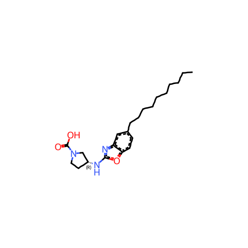 CCCCCCCCCCc1ccc2oc(N[C@@H]3CCN(C(=O)O)C3)nc2c1